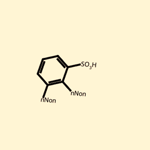 CCCCCCCCCc1cccc(S(=O)(=O)O)c1CCCCCCCCC